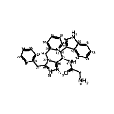 NCC(=O)NC(Cc1c[nH]c2ccccc12)c1nnc(Cc2ccccc2)n1Cc1ccccn1